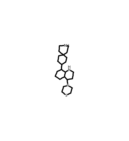 C1CC(C2CCC3(CCNCC3)CC2)C2NCCC(N3CCSCC3)C2C1